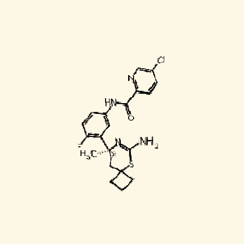 C[C@@]1(c2cc(NC(=O)c3ccc(Cl)cn3)ccc2F)CC2(CCC2)SC(N)=N1